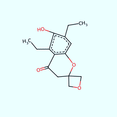 CCc1cc2c(c(CC)c1O)C(=O)CC1(COC1)O2